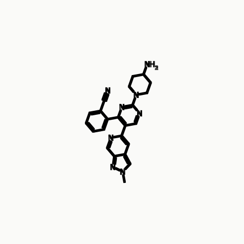 Cn1cc2cc(-c3cnc(N4CCC(N)CC4)nc3-c3ccccc3C#N)ncc2n1